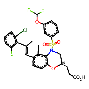 CC(=Cc1ccc2c(c1C)N(S(=O)(=O)c1cccc(OC(F)F)c1)C[C@H](CCC(=O)O)O2)c1c(F)cccc1Cl